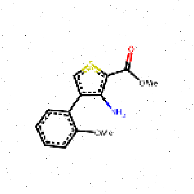 COC(=O)c1scc(-c2ccccc2OC)c1N